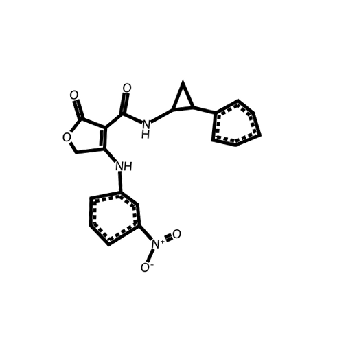 O=C(NC1CC1c1ccccc1)C1=C(Nc2cccc([N+](=O)[O-])c2)COC1=O